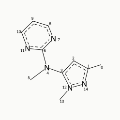 Cc1cc(N(C)c2ncccn2)n(C)n1